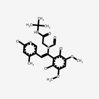 COc1cc(OC)c(Cl)c(/C(=C/c2cnc(Cl)cc2C)N(C=O)CC(=O)NC(C)(C)C)c1Cl